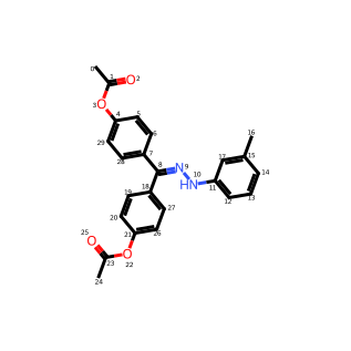 CC(=O)Oc1ccc(C(=NNc2cccc(C)c2)c2ccc(OC(C)=O)cc2)cc1